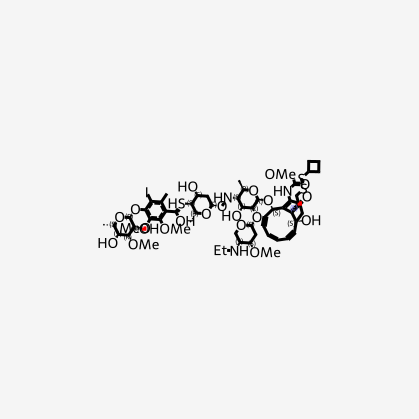 CCN[C@H]1CO[C@@H](O[C@H]2[C@H](O[C@H]3C#CC=CC#C[C@]4(O)CC(=O)C(NC(=O)OC)=C3/C4=C\CSSC3CCC3)O[C@H](C)[C@@H](NO[C@H]3C[C@H](O)[C@H]([SH]=C(O)c4c(C)c(I)c(O[C@@H]5O[C@@H](C)[C@H](O)[C@@H](OC)[C@H]5O)c(OC)c4OC)[C@@H](C)O3)[C@@H]2O)C[C@@H]1OC